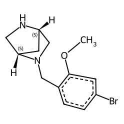 COc1cc(Br)ccc1CN1C[C@@H]2C[C@H]1CN2